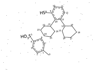 Cc1ccc(S(=O)(=O)O)cc1.Sc1cccc(C2CCCCC2)c1C1CCCCC1